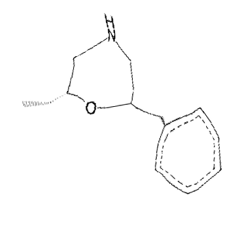 C[C@@H]1CNCC(c2ccccc2)O1